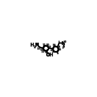 CN(C)Cc1cccc(-c2ccc(CN)cc2O)c1